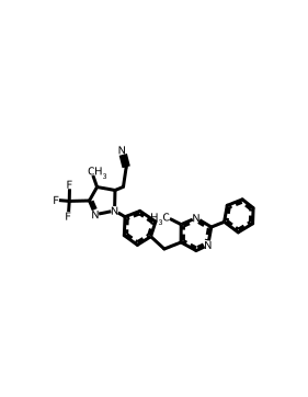 Cc1nc(-c2ccccc2)ncc1Cc1ccc(N2N=C(C(F)(F)F)C(C)C2CC#N)cc1